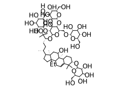 CC[C@@]12CCC([C@H](C)CC[C@@H](O[C@@H]3O[C@H](CO[C@H]4O[C@H](CO)[C@@H](O)[C@H](O)[C@H]4O)[C@@H](O[C@H]4O[C@H](CO)[C@@H](O)[C@H](O)[C@H]4O)[C@H](O)[C@H]3O[C@@H]3O[C@H](CO)[C@@H](O)[C@H](O)[C@H]3O)C(C)(C)O)[C@@]1(C)C[C@@H](O)[C@@]1(C)C3CC[C@H](O[C@@H]4O[C@H](CO)[C@@H](O)[C@H](O)[C@H]4O)C(C)(C)C3=CCC12